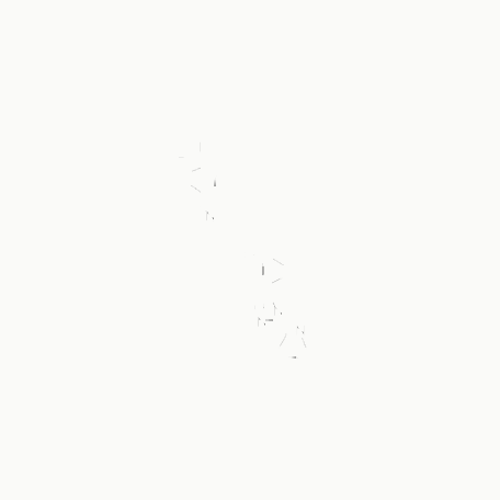 Cc1cccc(-c2noc(-c3cccc(OCC4CCN(Cc5ccc(F)c(F)c5)CC4)c3)n2)n1